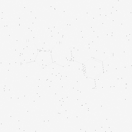 CN(CC1=CC(O)N(C)N1C)c1cc(Cl)cc(Cl)c1